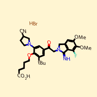 Br.COc1cc2c(c(F)c1OC)C(=N)N(CC(=O)c1cc(N3CCC(C#N)C3)c(OCCCCC(=O)O)c(C(C)(C)C)c1)C2